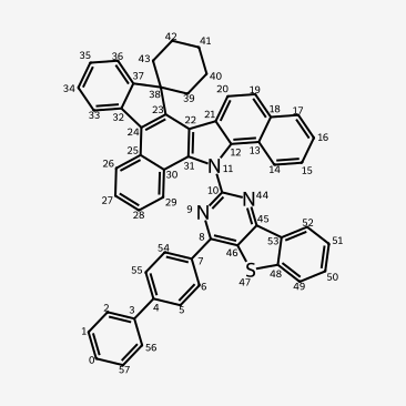 c1ccc(-c2ccc(-c3nc(-n4c5c6ccccc6ccc5c5c6c(c7ccccc7c54)-c4ccccc4C64CCCCC4)nc4c3sc3ccccc34)cc2)cc1